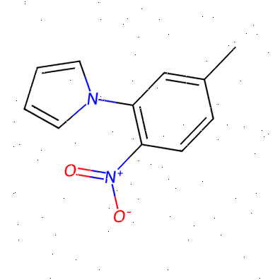 Cc1ccc([N+](=O)[O-])c(-n2cccc2)c1